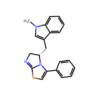 Cn1cc(C[C@H]2CN=C3SC=C(c4ccccc4)N32)c2ccccc21